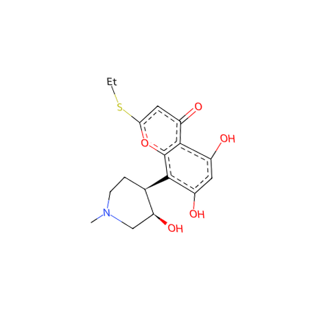 CCSc1cc(=O)c2c(O)cc(O)c([C@@H]3CCN(C)C[C@@H]3O)c2o1